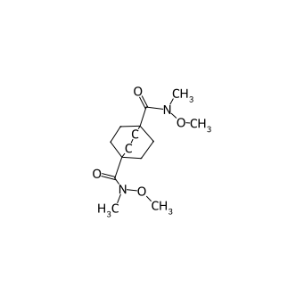 CON(C)C(=O)C12CCC(C(=O)N(C)OC)(CC1)CC2